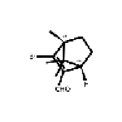 CC1(C)[C@@H]2CC[C@@]1(C)C(Br)=C2C=O